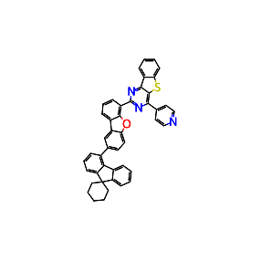 c1ccc2c(c1)-c1c(-c3ccc4oc5c(-c6nc(-c7ccncc7)c7sc8ccccc8c7n6)cccc5c4c3)cccc1C21CCCCC1